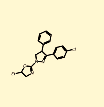 CCC1CN=C(N2CC(c3ccccc3)C(c3ccc(Cl)cc3)=N2)O1